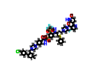 CC1(C)CCC(c2ccc(Cl)cc2)=C(CN2CCN(c3ccc(C(=O)NS(=O)(=O)c4ccc(N[C@H](CCN5CCN(Cc6c(F)ccnc6C6CCC(=O)NC6=O)CC5)CSc5ccccc5)c(S(=O)(=O)C(F)(F)F)c4)cc3)CC2)C1